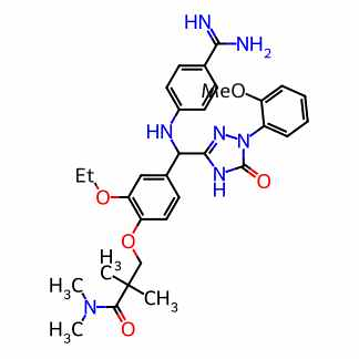 CCOc1cc(C(Nc2ccc(C(=N)N)cc2)c2nn(-c3ccccc3OC)c(=O)[nH]2)ccc1OCC(C)(C)C(=O)N(C)C